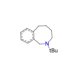 CC(C)(C)N1CCCCc2ccccc2C1